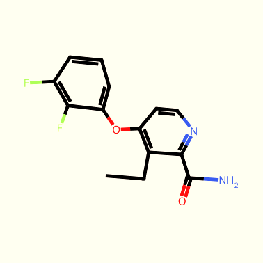 CCc1c(Oc2cccc(F)c2F)ccnc1C(N)=O